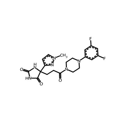 Cn1ccc(C2(CCC(=O)N3CCN(c4cc(F)cc(F)c4)CC3)NC(=O)NC2=O)n1